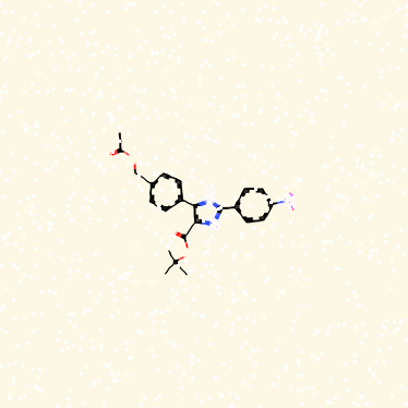 CC(=O)OCc1ccc(-c2[nH]c(-c3ccc([N+](=O)[O-])cc3)nc2C(=O)OC(C)(C)C)cc1